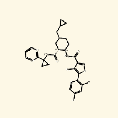 O=C(N[C@@H]1CCN(CC2CC2)C[C@H]1C(=O)NC1(c2ncccn2)CC1)c1noc(-c2ccc(F)cc2F)c1F